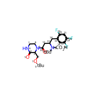 CC(C)(C)OCC1C(=O)NCCN1C(=O)CC(Cc1cc(F)c(F)cc1F)N(C(=O)O)C(C)(C)C